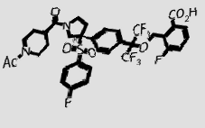 CC(=O)N1CCC(C(=O)N2CC[C@](c3ccc(C(OCc4c(F)cccc4C(=O)O)(C(F)(F)F)C(F)(F)F)cc3)(S(=O)(=O)c3ccc(F)cc3)C2)CC1